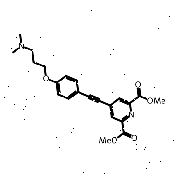 COC(=O)c1cc(C#Cc2ccc(OCCCN(C)C)cc2)cc(C(=O)OC)n1